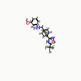 COc1cccc(NCC23CCC(c4noc(C(C)(F)F)n4)(CC2)CC3)c1